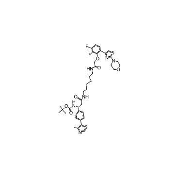 Cc1ncsc1-c1ccc([C@H](CC(=O)NCCCCCCNC(=O)COc2c(-c3csc(N4CCOCC4)n3)ccc(F)c2F)NC(=O)OC(C)(C)C)cc1